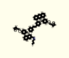 C=CC/C=C\c1cc(N(c2ccc(C=Cc3ccc(N(c4ccc(OCC5CCO5)cc4)c4c5ccccc5cc5ccccc45)cc3)cc2)c2ccc(OCC3CCO3)cc2)c2ccccc2c1